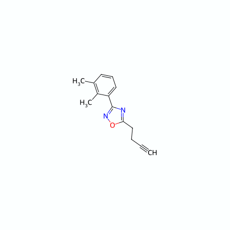 C#CCCc1nc(-c2cccc(C)c2C)no1